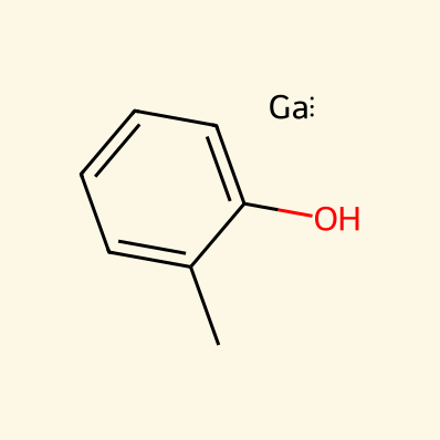 Cc1ccccc1O.[Ga]